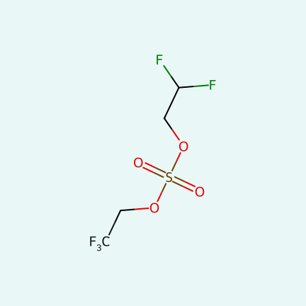 O=S(=O)(OCC(F)F)OCC(F)(F)F